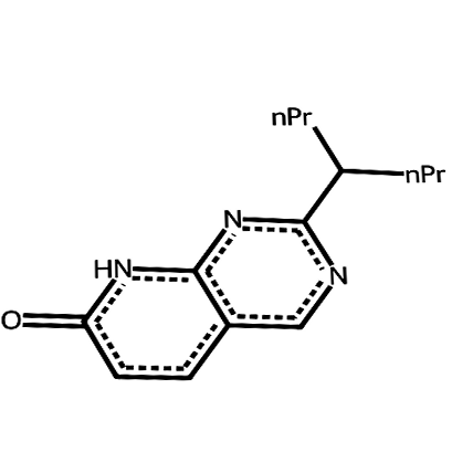 CCCC(CCC)c1ncc2ccc(=O)[nH]c2n1